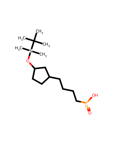 CC(C)(C)[Si](C)(C)OC1CCC(CCCC[PH](=O)O)C1